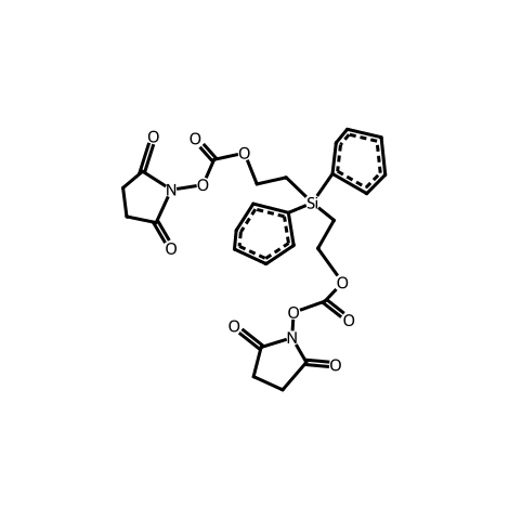 O=C(OCC[Si](CCOC(=O)ON1C(=O)CCC1=O)(c1ccccc1)c1ccccc1)ON1C(=O)CCC1=O